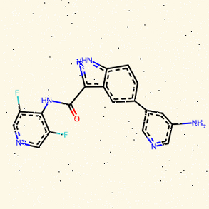 Nc1cncc(-c2ccc3[nH]nc(C(=O)Nc4c(F)cncc4F)c3c2)c1